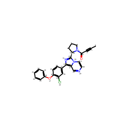 CC#CC(=O)N1CCC[C@@H]1c1nc(-c2ccc(Oc3ccccc3)c(Cl)c2)c2cnccn12